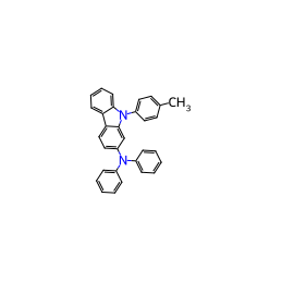 Cc1ccc(-n2c3ccccc3c3ccc(N(c4ccccc4)c4ccccc4)cc32)cc1